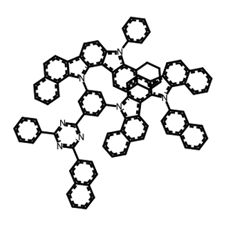 C1=Cc2ccc3c4c(ccc5c6ccc7ccccc7c6n(-c6cc(-c7nc(-c8ccccc8)nc(-c8ccc9ccccc9c8)n7)cc(-n7c8ccc9c%10ccc%11ccccc%11c%10n(-c%10ccc%11ccccc%11c%10)c9c8c8ccc9ccccc9c87)c6)c54)n(-c4ccccc4)c3c2CC1